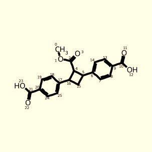 COC(=O)C1C(c2ccc(C(=O)O)cc2)CC1c1ccc(C(=O)O)cc1